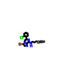 COCCCNC1=NC(c2ccccc2Cl)=CN2C1=NCC2Br